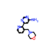 Nc1cc(-c2ncccc2CN2CCOCC2)ncn1